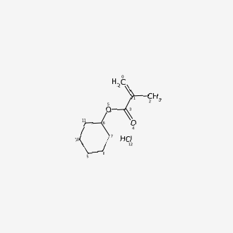 C=C(C)C(=O)OC1CCCCC1.Cl